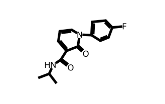 CC(C)NC(=O)c1cccn(-c2ccc(F)cc2)c1=O